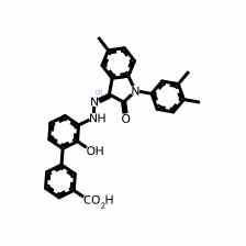 Cc1ccc2c(c1)/C(=N/Nc1cccc(-c3cccc(C(=O)O)c3)c1O)C(=O)N2c1ccc(C)c(C)c1